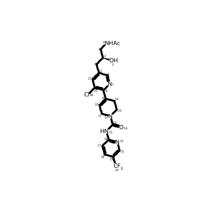 CC(=O)NC[C@@H](O)Cc1cnc(C2=CCN(C(=O)Nc3ccc(C(F)(F)F)cn3)CC2)c(Cl)c1